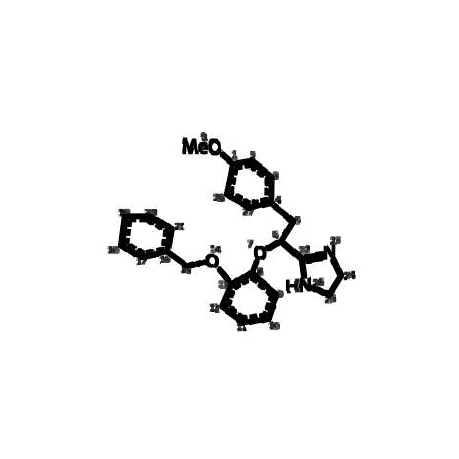 COc1ccc(CC(Oc2ccccc2OCc2ccccc2)C2=NCCN2)cc1